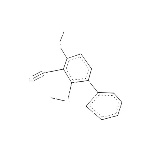 COc1ccc(-c2ccccc2)c(OC)c1C#N